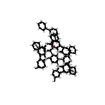 Cc1ccc2c(c1)c1cc(C)ccc1n2-c1cc(-n2c3ccc(C)cc3c3cc(C)ccc32)c(-c2cc(-c3ccccc3)nc(-c3ccccc3)n2)c(-n2c3ccccc3c3cc(-c4cccc(-c5ccccc5)n4)ccc32)c1-c1cc(-c2ccccc2)nc(-c2ccccc2)n1